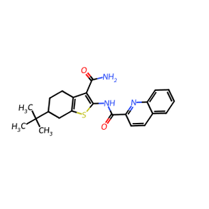 CC(C)(C)C1CCc2c(sc(NC(=O)c3ccc4ccccc4n3)c2C(N)=O)C1